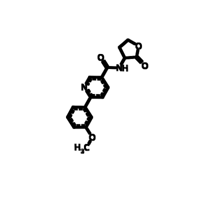 COc1cccc(-c2ccc(C(=O)NC3CCOC3=O)cn2)c1